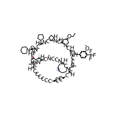 CCO[C@@H]1C[C@H]2CNC3(CCC3)CN(C)[C@@H](C3CCCC3)CN(C)[C@H](C(=O)N3CCCCC3)CCN(C)[C@H]3CCCCCCc4ccc(cc4)C[C@@H](CN(C)CCN[C@@H](CCc4ccc(C(F)(F)F)c(OC)c4)CN2C1)N1CC/C=C\C[C@@H](C1)N(C)CCN(C)C[C@H]([C@@H](C)CC)NC3